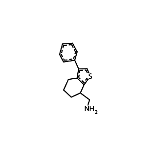 NCC1CCCc2c(-c3ccccc3)csc21